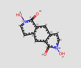 O=c1c2cc3ccn(O)c(=O)c3cc2ccn1O